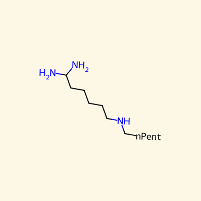 CCCCCCNCCCCCC(N)N